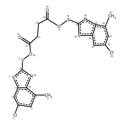 Cc1cc(Cl)cc2sc(SOC(=O)CCC(=O)OSc3nc4c(C)cc(Cl)cc4s3)nc12